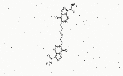 NC(=O)c1ncn2c(=O)n(CCSSCCn3nnc4c(C(N)=O)ncn4c3=O)nnc12